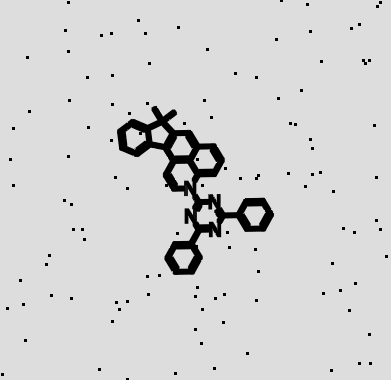 CC1(C)c2ccccc2-c2c1cc1cccc3c1c2C=CN3c1nc(-c2ccccc2)nc(-c2ccccc2)n1